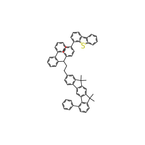 CC1(C)c2cc(CCC(c3ccc(-c4cccc5c4sc4ccccc45)cc3)c3ccccc3-c3ccccc3)ccc2-c2cc3c(cc21)C(C)(C)c1cccc(-c2ccccc2)c1-3